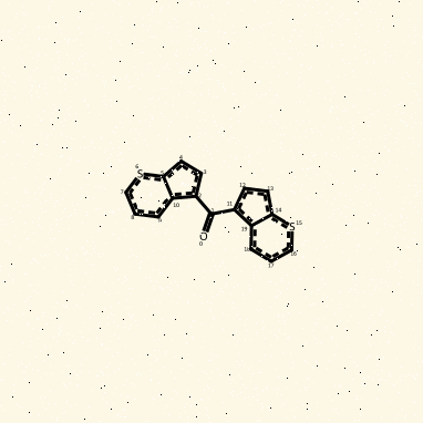 O=C(c1ccc2scccc1-2)c1ccc2scccc1-2